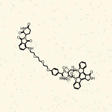 CO[C@@H]1[C@H](N(C)C(=O)c2ccc(OCCOCCOCCNc3cccc4c3C(=O)N(C3CCC(=O)NC3=O)C4=O)cc2)C[C@H]2O[C@]1(C)n1c3ccccc3c3c4c(c5c6ccccc6n2c5c31)C(=O)NC4